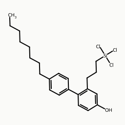 CCCCCCCCc1ccc(-c2ccc(O)cc2CCC[Si](Cl)(Cl)Cl)cc1